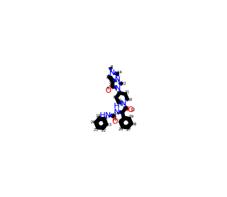 CN1C=C2C(=O)N(C3CCN(C(=O)C(NC(=O)Nc4ccccc4)c4ccccc4)CC3)CN2C1